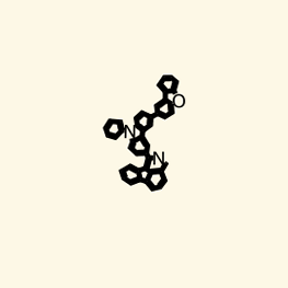 c1ccc(-n2c3ccc(-c4ccc5oc6ccccc6c5c4)cc3c3cc(-c4ncc5cccc6c5c4-c4ccccc4-6)ccc32)cc1